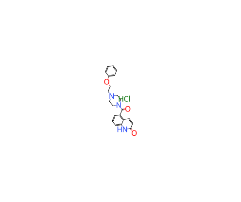 Cl.O=C(c1cccc2[nH]c(=O)ccc12)N1CCN(CCOc2ccccc2)CC1